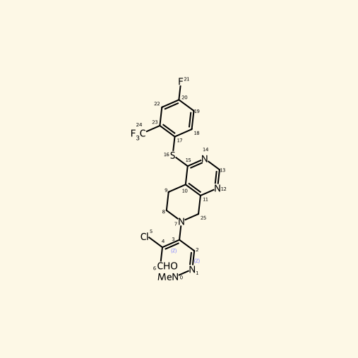 CN/N=C\C(=C(\Cl)C=O)N1CCc2c(ncnc2Sc2ccc(F)cc2C(F)(F)F)C1